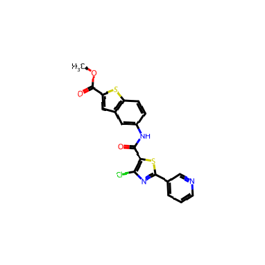 COC(=O)c1cc2cc(NC(=O)c3sc(-c4cccnc4)nc3Cl)ccc2s1